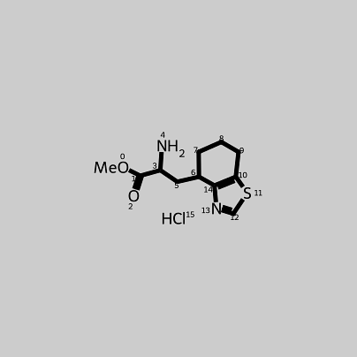 COC(=O)C(N)CC1CCCc2scnc21.Cl